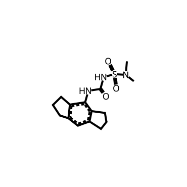 CN(C)S(=O)(=O)NC(=O)Nc1c2c(cc3c1CCC3)CCC2